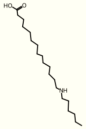 CCCCCCNCCCCCCCCCCCCCC(=O)O